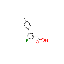 Cc1ccc(-c2cc(F)cc(CC(=O)O)c2)cc1